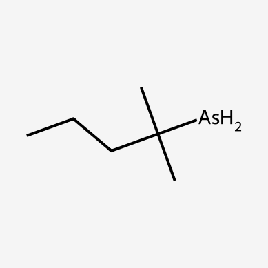 CCCC(C)(C)[AsH2]